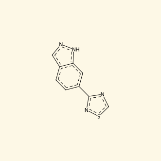 c1nc(-c2ccc3cn[nH]c3c2)ns1